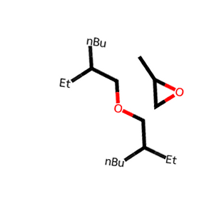 CC1CO1.CCCCC(CC)COCC(CC)CCCC